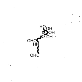 O=CCCCCCNCC(C=O)CCCOC1OC(CO)C(O)C(O)C1O